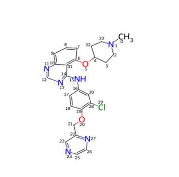 CN1CCC(Oc2cccc3ncnc(Nc4ccc(OCc5cnccn5)c(Cl)c4)c23)CC1